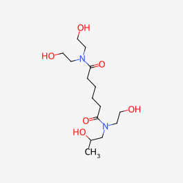 CC(O)CN(CCO)C(=O)CCCCC(=O)N(CCO)CCO